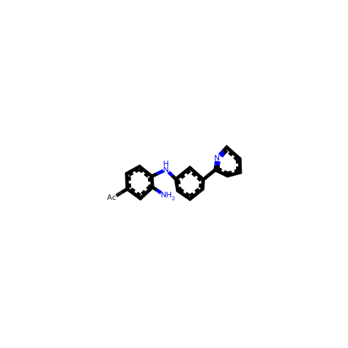 CC(=O)c1ccc(Nc2cccc(-c3ccccn3)c2)c(N)c1